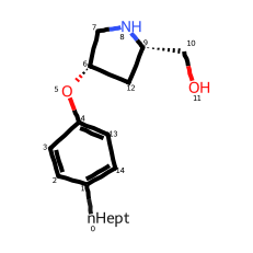 CCCCCCCc1ccc(O[C@@H]2CN[C@H](CO)C2)cc1